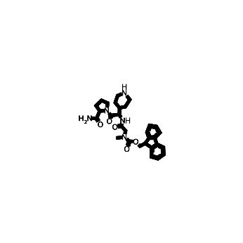 CN(CC(=O)NC(C(=O)N1CCCC1C(N)=O)C1CCNCC1)C(=O)OCC1c2ccccc2-c2ccccc21